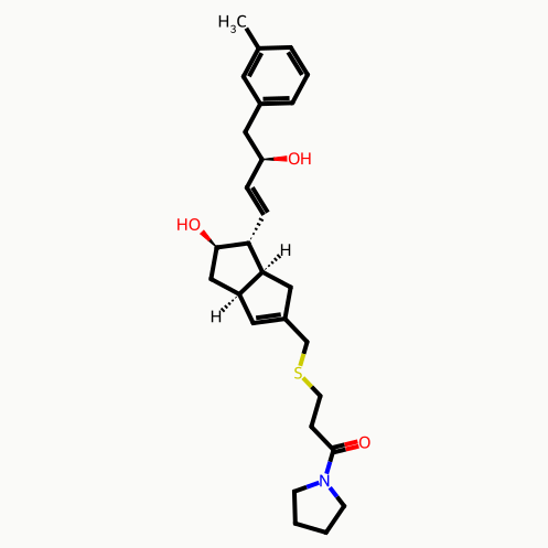 Cc1cccc(C[C@@H](O)/C=C/[C@@H]2[C@H]3CC(CSCCC(=O)N4CCCC4)=C[C@H]3C[C@H]2O)c1